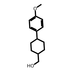 COc1ccc(C2CCC(CO)CC2)cc1